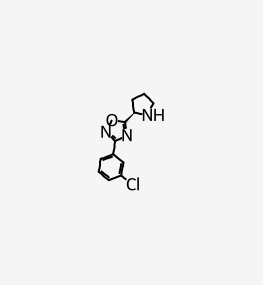 Clc1cccc(-c2noc([C@H]3CCCN3)n2)c1